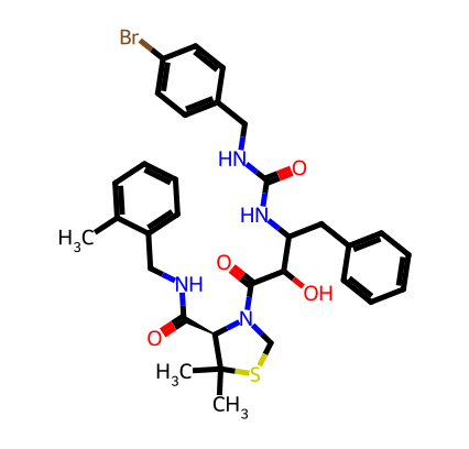 Cc1ccccc1CNC(=O)[C@H]1N(C(=O)C(O)C(Cc2ccccc2)NC(=O)NCc2ccc(Br)cc2)CSC1(C)C